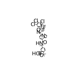 CC(C)(NC(=O)c1ccc(C2=NOC(c3cc(Cl)c(Cl)c(Cl)c3)(C(F)(F)F)C2)n2cccc12)c1ccc2c(c1)B(O)OC2(C)C